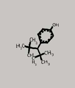 CC(C)(C)C(c1ccc(O)cc1)C(C)(C)C